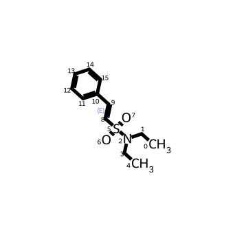 CCN(CC)S(=O)(=O)/C=C/c1ccccc1